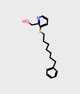 OCc1ncccc1SCCCCCCCc1ccccc1